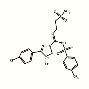 CC(C)[C@H]1CN(/C(=N/CCS(N)(=O)=O)NS(=O)(=O)c2ccc(C(F)(F)F)cc2)N=C1c1ccc(Cl)cc1